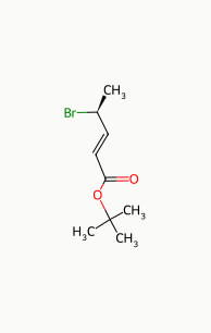 C[C@H](Br)/C=C/C(=O)OC(C)(C)C